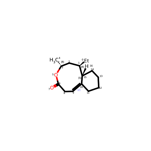 CC[C@@H]1C[C@@H](C)OC(=O)C/C=C2/CCCC[C@H]21